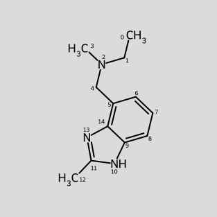 CCN(C)Cc1cccc2[nH]c(C)nc12